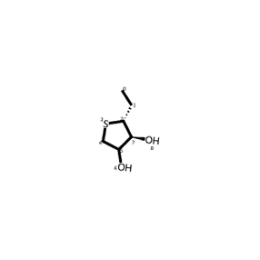 CC[C@H]1SCC(O)[C@@H]1O